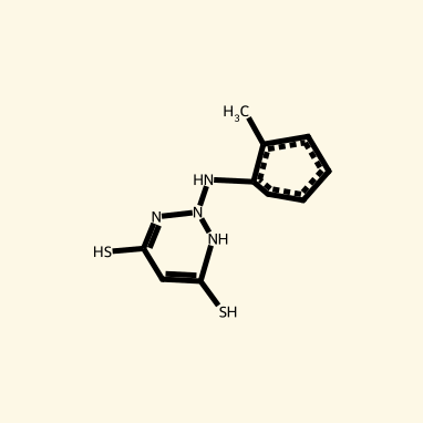 Cc1ccccc1NN1N=C(S)C=C(S)N1